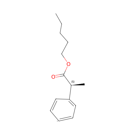 CCCCCOC(=O)[C@@H](C)c1cc[c]cc1